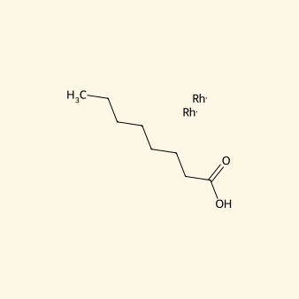 CCCCCCCC(=O)O.[Rh].[Rh]